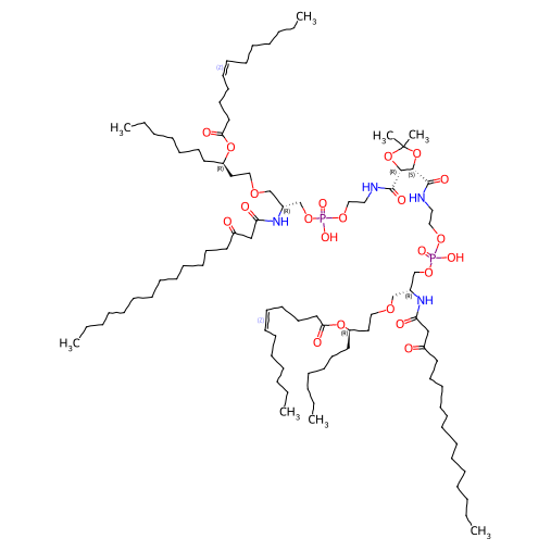 CCCCCC/C=C\CCCC(=O)O[C@H](CCCCCCC)CCOC[C@H](COP(=O)(O)OCCNC(=O)[C@H]1OC(C)(C)O[C@H]1C(=O)NCCOP(=O)(O)OC[C@@H](COCC[C@@H](CCCCCCC)OC(=O)CCC/C=C\CCCCCC)NC(=O)CC(=O)CCCCCCCCCCCCC)NC(=O)CC(=O)CCCCCCCCCCCCC